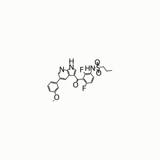 CCCS(=O)(=O)Nc1ccc(F)c(C(=O)c2c[nH]c3ncc(-c4cccc(OC)c4)cc23)c1F